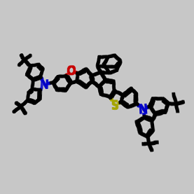 CC(C)(C)c1ccc2c(c1)c1cc(C(C)(C)C)ccc1n2-c1ccc2c(c1)oc1cc3c(cc12)-c1cc2sc4cc(-n5c6ccc(C(C)(C)C)cc6c6cc(C(C)(C)C)ccc65)ccc4c2cc1C31C2CC3CC(C2)CC1C3